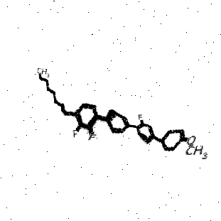 CCCCCCCCc1ccc(-c2ccc(-c3ccc(C4CCC(OC)CC4)cc3F)cc2)c(F)c1F